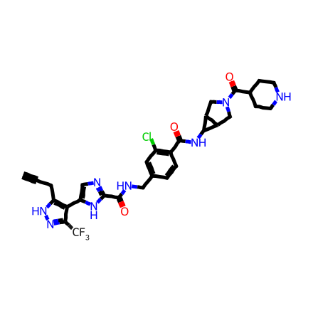 C#CCc1[nH]nc(C(F)(F)F)c1-c1cnc(C(=O)NCc2ccc(C(=O)NC3C4CN(C(=O)C5CCNCC5)CC43)c(Cl)c2)[nH]1